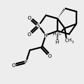 CC1(C)C2CC[C@]13CS(=O)(=O)N(C(=O)CP=O)[C@@H]3C2